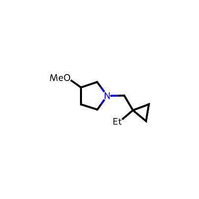 CCC1(CN2CCC(OC)C2)CC1